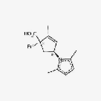 CC[C@@]1(C(=O)O)C[C@H](n2c(C)ccc2C)C=C1C